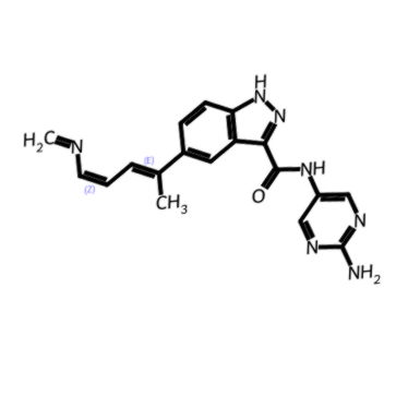 C=N/C=C\C=C(/C)c1ccc2[nH]nc(C(=O)Nc3cnc(N)nc3)c2c1